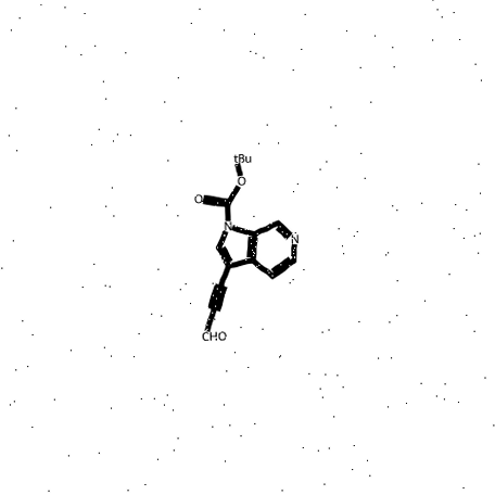 CC(C)(C)OC(=O)n1cc(C#CC=O)c2ccncc21